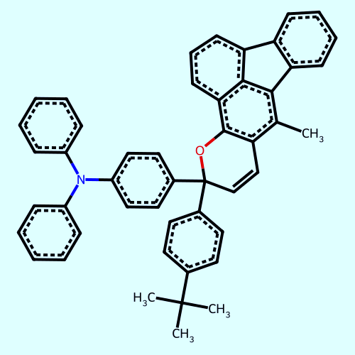 Cc1c2c(c3cccc4c3c1-c1ccccc1-4)OC(c1ccc(N(c3ccccc3)c3ccccc3)cc1)(c1ccc(C(C)(C)C)cc1)C=C2